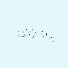 O=c1c2ccc(Cl)cc2[nH]c2c(O)nn(Cc3ccc(-c4nnco4)cc3)c(=O)c12